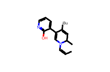 C/C=C\N1C=C(c2cccnc2O)C(C(C)CC)=CC1C